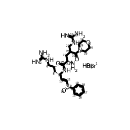 Br.Br.N=C(N)NCCC[C@@H](/C=C/[S+]([O-])c1ccccc1)NC(=O)[C@@H](N)CC(CNC(=N)N)C(=O)N1CCOCC1